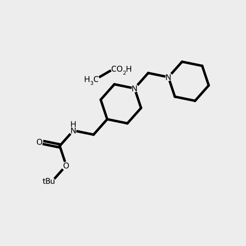 CC(=O)O.CC(C)(C)OC(=O)NCC1CCN(CN2CCCCC2)CC1